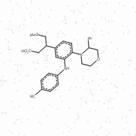 COCC(CC(=O)O)c1ccc(N2CCOCC2C(C)C)c(Nc2ccc(C#N)cc2)c1